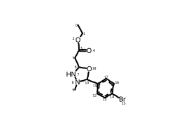 CCOC(=O)CC1NN(C)C(c2ccc(Br)cc2)O1